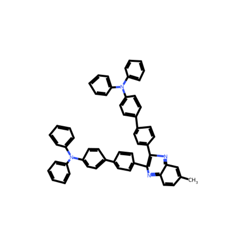 Cc1ccc2nc(-c3ccc(-c4ccc(N(c5ccccc5)c5ccccc5)cc4)cc3)c(-c3ccc(-c4ccc(N(c5ccccc5)c5ccccc5)cc4)cc3)nc2c1